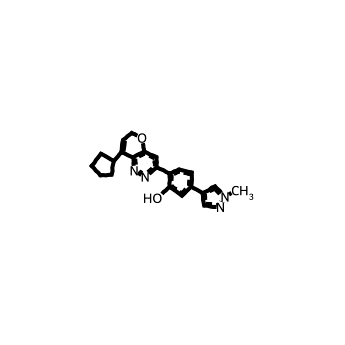 Cn1cc(-c2ccc(-c3cc4c(nn3)C(C3CCCC3)=CCO4)c(O)c2)cn1